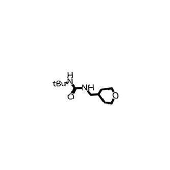 CC(C)(C)NC(=O)NCC1CCOCC1